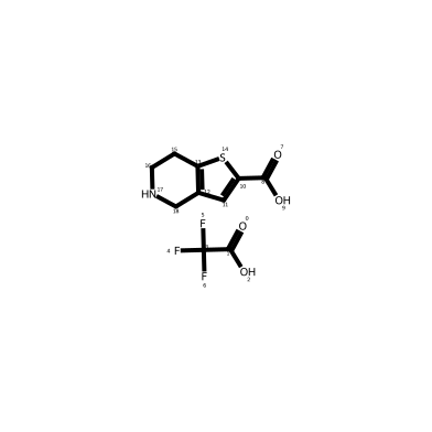 O=C(O)C(F)(F)F.O=C(O)c1cc2c(s1)CCNC2